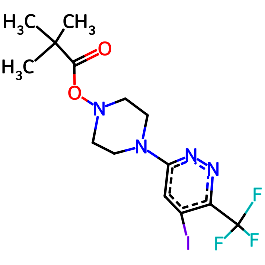 CC(C)(C)C(=O)ON1CCN(c2cc(I)c(C(F)(F)F)nn2)CC1